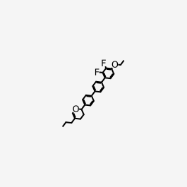 CCCC1=COC(c2ccc(-c3ccc(-c4ccc(OCC)c(F)c4F)cc3)cc2)CC1